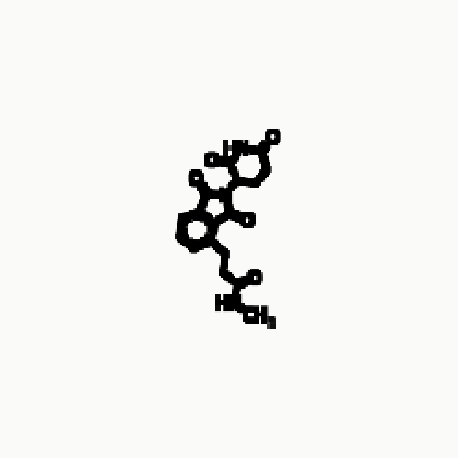 CNC(=O)CCc1cccc2c1C(=O)N(C1CCC(=O)NC1=O)C2=O